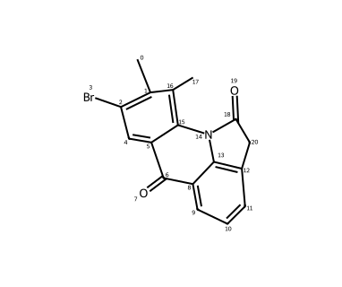 Cc1c(Br)cc2c(=O)c3cccc4c3n(c2c1C)C(=O)C4